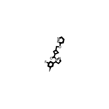 O=C(N1N=CCC1c1cc(F)cc(F)c1)C12CC(COc3cccnn3)(C1)C2